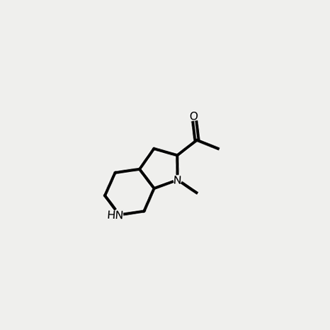 CC(=O)C1CC2CCNCC2N1C